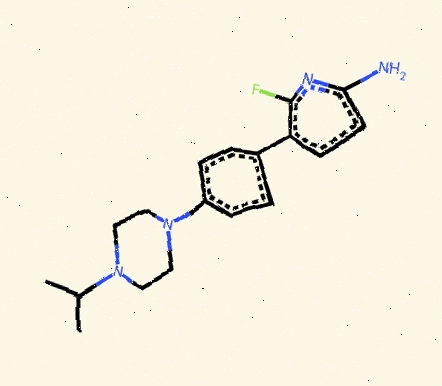 CC(C)N1CCN(c2ccc(-c3ccc(N)nc3F)cc2)CC1